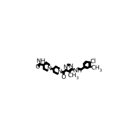 Cc1cc(CCNc2ncnc(C(=O)N3CCC(N4CCC(C(N)=O)CC4)CC3)c2C)ccc1Cl